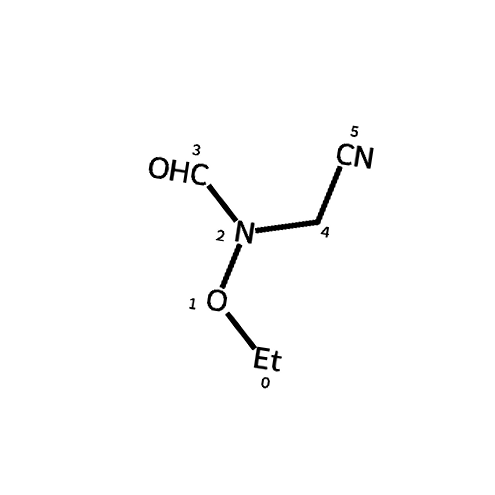 CCON(C=O)CC#N